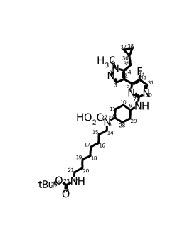 Cn1ncc(-c2nc(NC3CCC(N(CCCCCCCCNC(=O)OC(C)(C)C)C(=O)O)CC3)ncc2F)c1CC1CC1